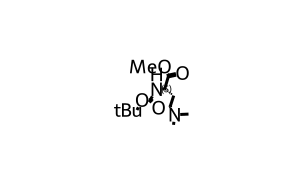 COC(=O)[C@H](CCN(C)C)NC(=O)OC(C)(C)C